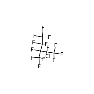 FC(F)(F)C(F)(F)C(F)(C(F)(F)F)C(F)(Cl)C(F)(F)F